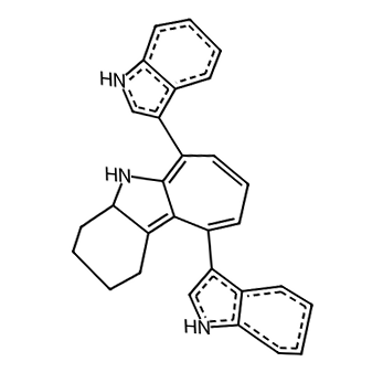 C1=CC(c2c[nH]c3ccccc23)=C2NC3CCCCC3=C2C(c2c[nH]c3ccccc23)=C1